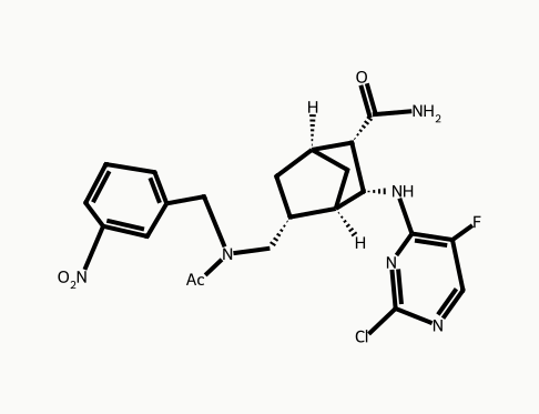 CC(=O)N(Cc1cccc([N+](=O)[O-])c1)C[C@@H]1C[C@@H]2C[C@H]1[C@@H](Nc1nc(Cl)ncc1F)[C@H]2C(N)=O